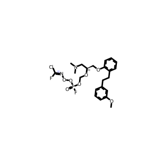 COc1cccc(CCc2ccccc2OC[C@H](CN(C)C)OCOP(=O)(F)OO/N=C(\F)Cl)c1